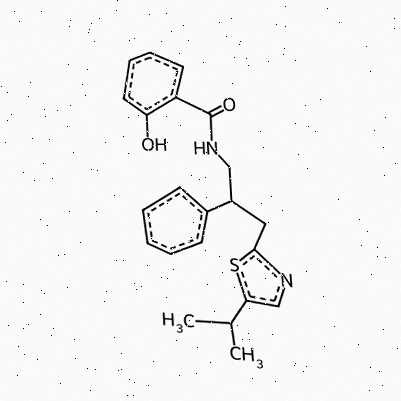 CC(C)c1cnc(CC(CNC(=O)c2ccccc2O)c2ccccc2)s1